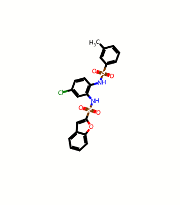 Cc1cccc(S(=O)(=O)Nc2ccc(Cl)cc2NS(=O)(=O)c2cc3ccccc3o2)c1